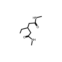 CCC(CC(=O)NC)CC(=O)NC